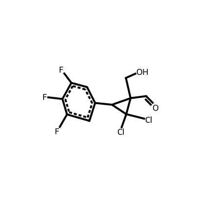 O=CC1(CO)C(c2cc(F)c(F)c(F)c2)C1(Cl)Cl